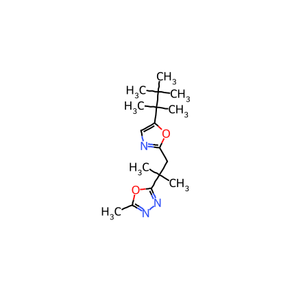 Cc1nnc(C(C)(C)Cc2ncc(C(C)(C)C(C)(C)C)o2)o1